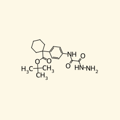 CC(C)(C)OC(=O)C1(c2ccc(NC(=O)C(=O)NN)cc2)CCCCC1